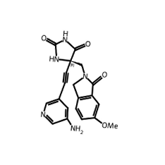 COc1ccc2c(c1)C(=O)N(C[C@@]1(C#Cc3cncc(N)c3)NC(=O)NC1=O)C2